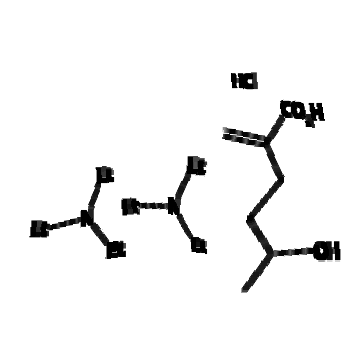 C=C(CCC(C)O)C(=O)O.CCN(CC)CC.CCN(CC)CC.Cl